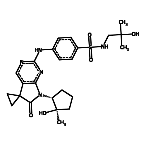 CC(C)(O)CNS(=O)(=O)c1ccc(Nc2ncc3c(n2)N([C@@H]2CCC[C@@]2(C)O)C(=O)C32CC2)cc1